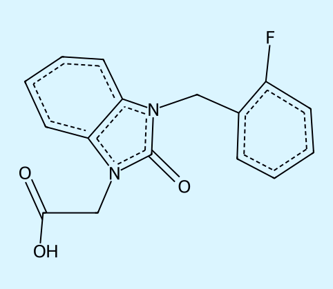 O=C(O)Cn1c(=O)n(Cc2ccccc2F)c2ccccc21